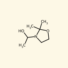 CC(O)N1CCOC1(C)C